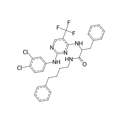 O=C(NCCCCc1ccccc1)C(Cc1ccccc1)Nc1nc(Nc2ccc(Cl)c(Cl)c2)ncc1C(F)(F)F